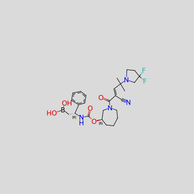 CC(C)(C=C(C#N)C(=O)N1CCCC[C@@H](OC(=O)N[C@H](CB(O)O)c2ccccc2)C1)N1CCC(F)(F)C1